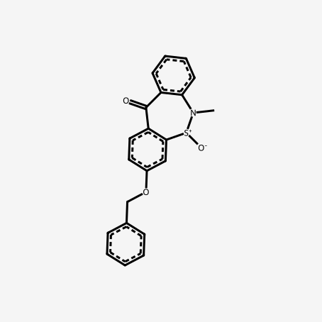 CN1c2ccccc2C(=O)c2ccc(OCc3ccccc3)cc2[S+]1[O-]